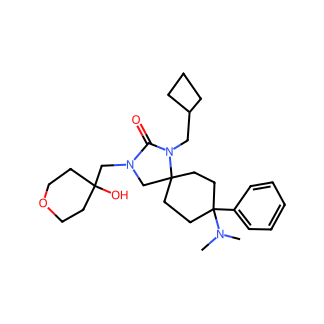 CN(C)C1(c2ccccc2)CCC2(CC1)CN(CC1(O)CCOCC1)C(=O)N2CC1CCC1